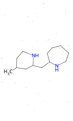 CC1CCNC(CC2CCCCCN2)C1